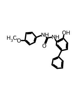 COc1ccc(NC(=O)Nc2cc(-c3ccccc3)ccc2O)cc1